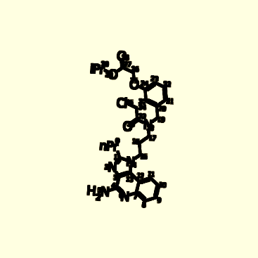 CCCc1nc2c(N)nc3ccccc3c2n1CCCN(Cc1cccc(OCC(=O)OC(C)C)c1)C(=O)CCl